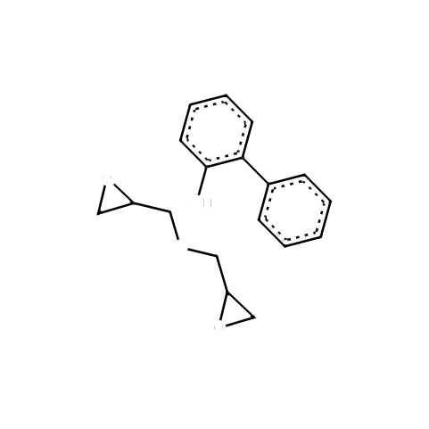 C(OCC1CO1)C1CO1.Oc1ccccc1-c1ccccc1